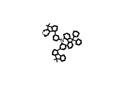 CC1(C)c2ccccc2-c2c(-c3cccc(N(c4cccc(-c5cccc6c5-c5ccccc5C6(C)C)c4)c4cccc5c4-c4ccccc4C5(c4ccccc4)c4ccccc4)c3)cccc21